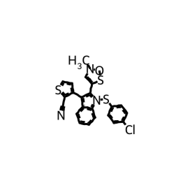 CN1C=C(c2c(-c3ccsc3C#N)c3ccccc3n2Sc2ccc(Cl)cc2)SO1